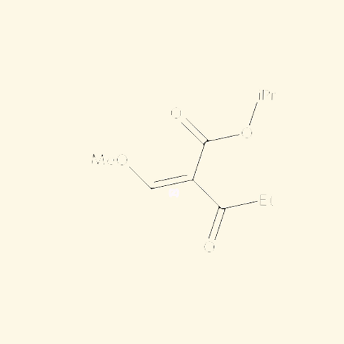 CCC(=O)/C(=C/OC)C(=O)OC(C)C